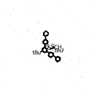 CC(C)(C)c1cc(-c2ccc(C3=CCCC=C3)cc2)c(SCC(C)(C)C(C)(C)C)c(-c2ccc(-c3ccccc3)cc2)c1